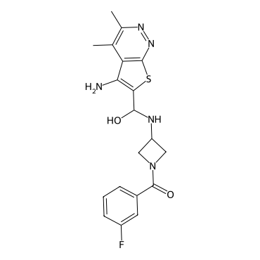 Cc1nnc2sc(C(O)NC3CN(C(=O)c4cccc(F)c4)C3)c(N)c2c1C